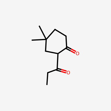 CCC(=O)C1CC(C)(C)CCC1=O